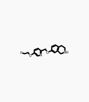 FCCOc1ccc(COc2ccc3c(c2)CNCC3)nc1